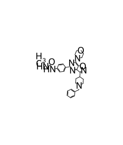 CCNC(=O)Nc1ccc(-c2nc(N3CCOCC3)c3onc(C4CCN(Cc5ccccc5)CC4)c3n2)cc1